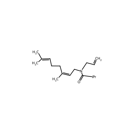 C=CCN(C/C=C(/C)CCC=C(C)C)C(=O)C(C)C